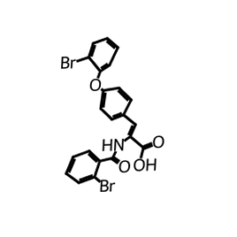 O=C(O)C(=Cc1ccc(Oc2ccccc2Br)cc1)NC(=O)c1ccccc1Br